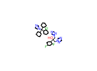 Clc1ccccc1C(c1ccccc1)(c1ccccc1)n1ccnc1.OC(Cn1cncn1)(Cn1cncn1)c1ccc(F)cc1F